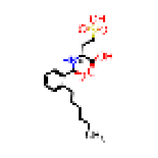 CCCCCCc1ccccc1C(=O)N[C@@H](CCS(=O)(=O)O)C(=O)O